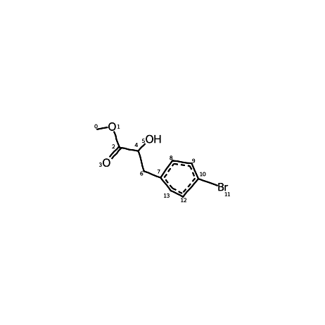 COC(=O)C(O)Cc1ccc(Br)cc1